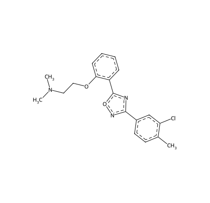 Cc1ccc(-c2noc(-c3ccccc3OCCN(C)C)n2)cc1Cl